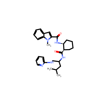 CC(C)CC(CNc1ccccn1)NC(=O)[C@@H]1CCCC[C@@H]1NC(=O)c1cc2ccccc2n1C